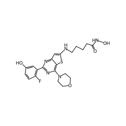 O=C(CCCCNc1cc2nc(-c3cc(O)ccc3F)nc(N3CCOCC3)c2s1)NO